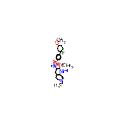 CCN1C=CC2=C(CC1)CC(NS(=O)(=O)c1ccc(C3(F)CCC(OC)CC3)cc1)C(OC)N2